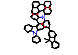 CC1(C)c2ccccc2-c2ccc(-c3ccc(N(c4ccccc4-c4cccc5cccc(-c6ccccc6)c45)c4ccccc4-c4cccc5c4c4ccccc4n5-c4ccccc4)cc3)cc21